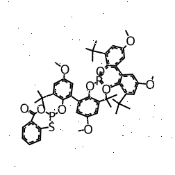 COc1cc(-c2cc(OC)cc(C(C)(C)C)c2Op2oc3c(C(C)(C)C)cc(OC)cc3c3cc(OC)cc(C(C)(C)C)c3o2)c(OP2OC(=O)c3ccccc3S2)c(C(C)(C)C)c1